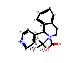 CC(C)(C)[N+]1(C(=O)O)CCc2ccccc2C1c1ccncc1